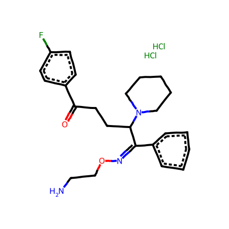 Cl.Cl.NCCON=C(c1ccccc1)C(CCC(=O)c1ccc(F)cc1)N1CCCCC1